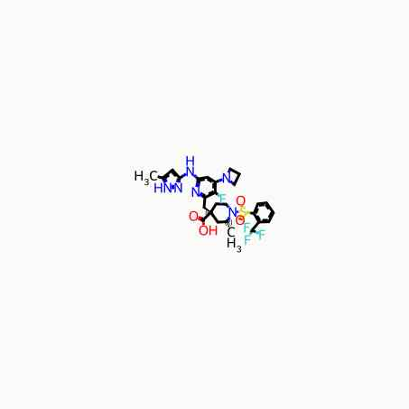 Cc1cc(Nc2cc(N3CCC3)c(F)c(C[C@@]3(C(=O)O)CCN(S(=O)(=O)c4ccccc4C(F)(F)F)[C@H](C)C3)n2)n[nH]1